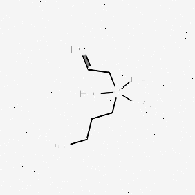 C=CCP(C)(CCCC)(CCCC)CCCCCCCCCCCCC